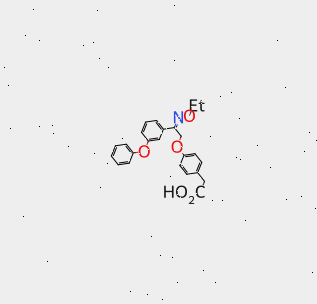 CCO/N=C(\COc1ccc(CC(=O)O)cc1)c1cccc(Oc2ccccc2)c1